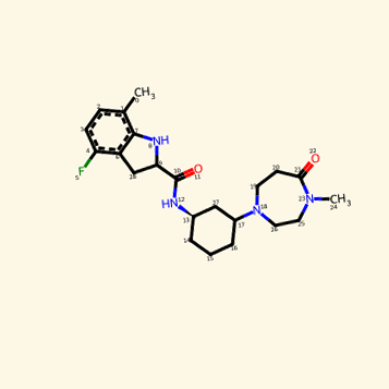 Cc1ccc(F)c2c1NC(C(=O)N[C@@H]1CCCC(N3CCC(=O)N(C)CC3)C1)C2